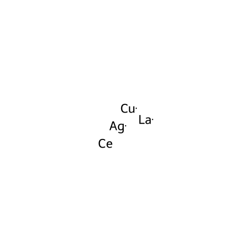 [Ag].[Ce].[Cu].[La]